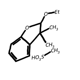 CCOC1Oc2ccccc2C1(C)C.CS(=O)(=O)O